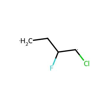 [CH2]CC(F)[CH]Cl